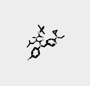 CCN(c1ccc(CN(C(=O)C(CC(C)C)N(C)C(=O)OC(C)(C)C)c2ccc(F)cc2)cn1)C1CC1